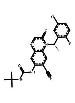 C[C@@H](c1cc(Cl)ccc1F)n1c(=O)cnc2cc(NC(=O)NC(C)(C)C)c(C#N)cc21